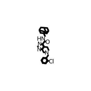 O=C(NCC12CC3CC(CC(C3)C1)C2)c1ncnc2c1CCN(Cc1ccccc1Cl)C2